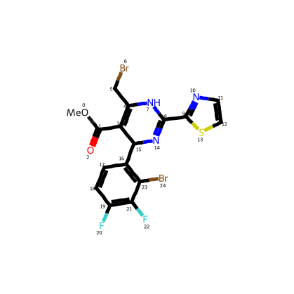 COC(=O)C1=C(CBr)NC(c2nccs2)=NC1c1ccc(F)c(F)c1Br